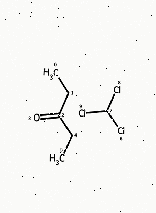 CCC(=O)CC.ClC(Cl)Cl